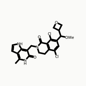 COC(c1cc(Cl)c2c(c1Cl)C(=O)N(Cc1c(=O)[nH]c(C)c3cc[nH]c13)CC2)C1COC1